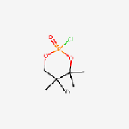 CC(C)C1(C)COP(=O)(Cl)OC1(C)C